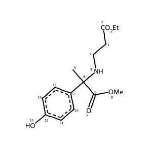 CCOC(=O)CCNC(C)(C(=O)OC)c1ccc(O)cc1